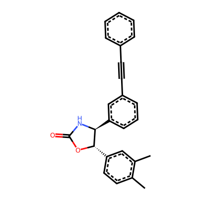 Cc1ccc([C@@H]2OC(=O)N[C@H]2c2cccc(C#Cc3ccccc3)c2)cc1C